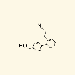 N#CCCc1ccccc1-c1ccc(CO)cc1